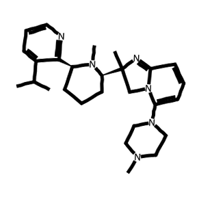 CC(C)c1cccnc1[C@@H]1CCC[C@H](C2(C)CN3C(N4CCN(C)CC4)=CC=CC3=N2)N1C